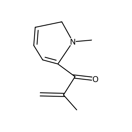 C=C(C)C(=O)C1=CC=CCN1C